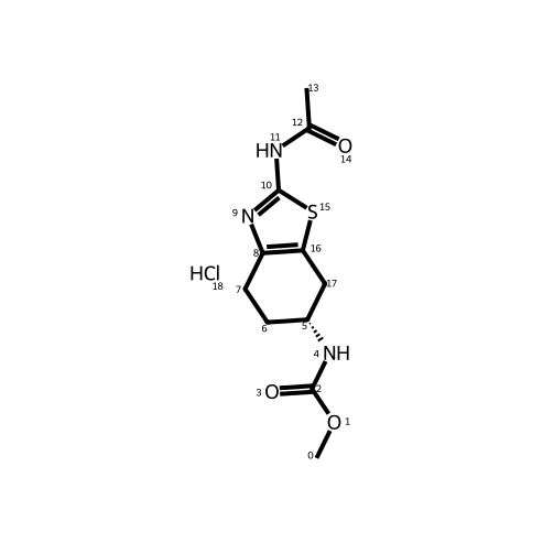 COC(=O)N[C@@H]1CCc2nc(NC(C)=O)sc2C1.Cl